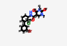 Cn1cc(C(=O)NC2C=CC=C(c3cccc(Br)c3)C2(C)Cl)c(=O)n(C)c1=O